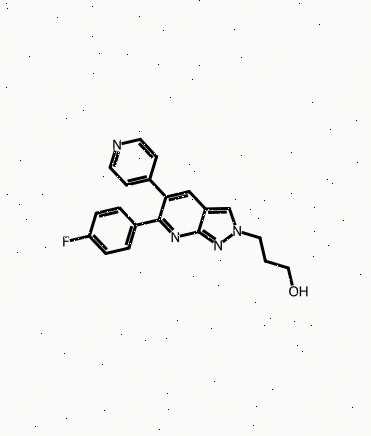 OCCCn1cc2cc(-c3ccncc3)c(-c3ccc(F)cc3)nc2n1